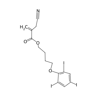 C=C(CC#N)C(=O)OCCCCOc1c(I)cc(I)cc1I